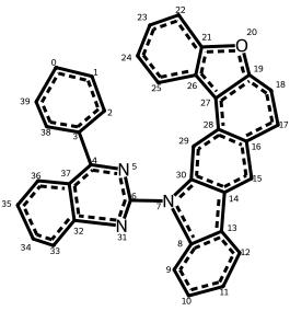 c1ccc(-c2nc(-n3c4ccccc4c4cc5ccc6oc7ccccc7c6c5cc43)nc3ccccc23)cc1